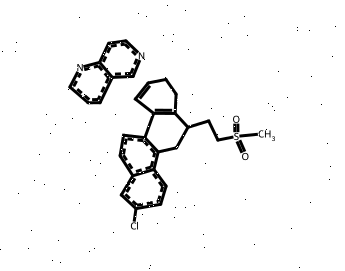 CS(=O)(=O)CCC1Cc2c(ccc3cc(Cl)ccc23)C2=C1CCC=C2.c1cnc2ccncc2c1